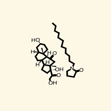 CCCCCCCCCCCCN1CCCC1=O.C[C@]12CC[C@@H](O)C[C@H]1CC[C@@H]1[C@@H]2C(=O)C[C@@]2(C)[C@H]1CC[C@]2(O)C(=O)CO